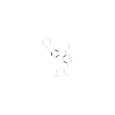 CCCCc1nnc(C[C@H]2CCN(C)C[C@@H]2F)cc1-c1ccc(OC2CCCCC2)cc1